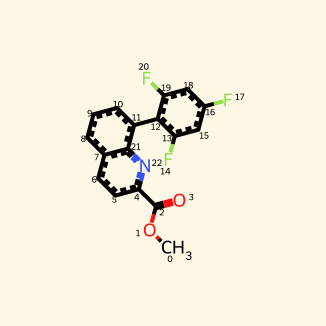 COC(=O)c1ccc2cccc(-c3c(F)cc(F)cc3F)c2n1